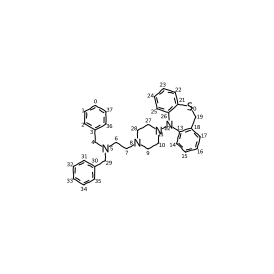 c1ccc(CN(CCN2CCN(N3c4ccccc4CSc4ccccc43)CC2)Cc2ccccc2)cc1